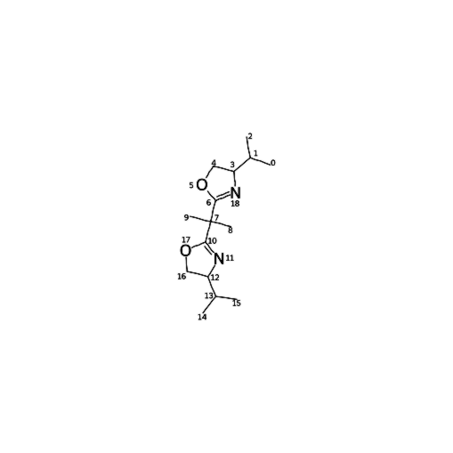 CC(C)C1COC(C(C)(C)C2=NC(C(C)C)CO2)=N1